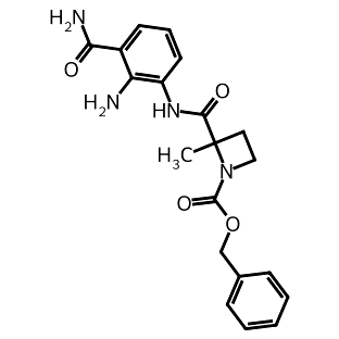 CC1(C(=O)Nc2cccc(C(N)=O)c2N)CCN1C(=O)OCc1ccccc1